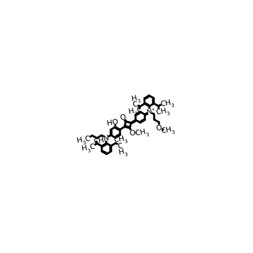 CCCCN(c1ccc(C2=C(OC)C(=C3C=CC(=[N+](CCCOC)c4c(C(C)C)cccc4C(C)C)C=C3)C2=O)c(O)c1)c1c(C(C)C)cccc1C(C)C